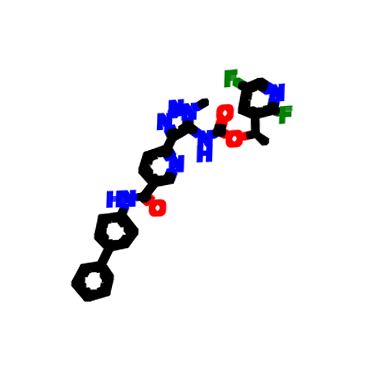 C[C@@H](OC(=O)Nc1c(-c2ccc(C(=O)Nc3ccc(-c4ccccc4)cc3)cn2)nnn1C)c1cc(F)cnc1F